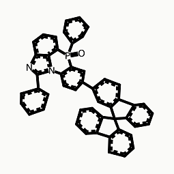 O=P1(c2ccccc2)c2cc(-c3ccc4c(c3)C3(c5ccccc5-c5ccccc53)c3ccccc3-4)ccc2-n2c(-c3ccccc3)nc3cccc1c32